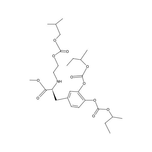 CCC(C)OC(=O)Oc1ccc(C[C@H](NCCOC(=O)OCC(C)C)C(=O)OC)cc1OC(=O)OC(C)CC